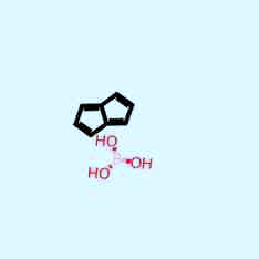 C1=CC2=CC=CC2=C1.OB(O)O